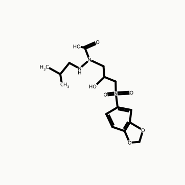 CC(C)CNN(CC(O)CS(=O)(=O)c1ccc2c(c1)OCO2)C(=O)O